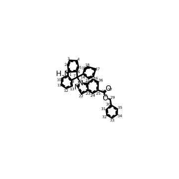 Nc1ccccc1C(c1ccccc1)(c1ccccc1)n1ncc2cc(C(=O)OCc3ccccc3)ccc21